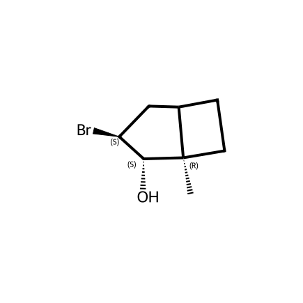 C[C@@]12CCC1C[C@H](Br)[C@H]2O